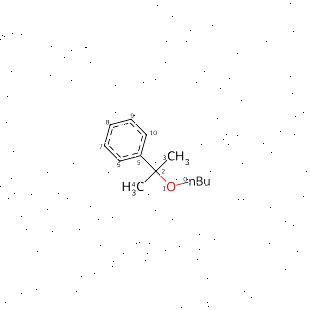 CCCCOC(C)(C)c1ccccc1